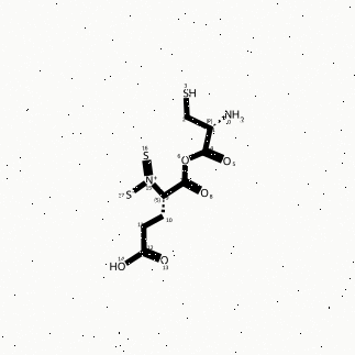 N[C@@H](CS)C(=O)OC(=O)[C@H](CCC(=O)O)[N+](=S)[S-]